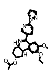 CCOc1cc2c(cc1OC)C(c1ccc(-n3cccn3)nc1)=N[C@@H]1CC[C@@H](OC(C)=O)C[C@H]21